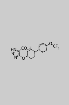 O=C(O)c1[nH]nnc1OC1CC=C(c2ccc(OC(F)(F)F)cc2)CC1